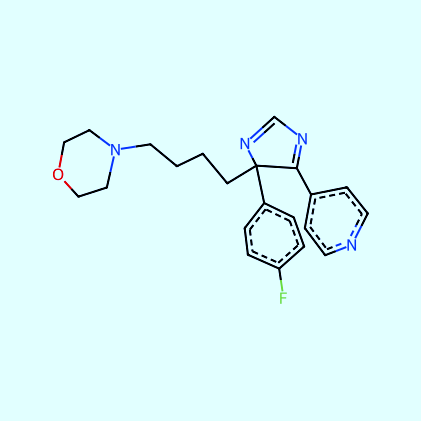 Fc1ccc(C2(CCCCN3CCOCC3)N=CN=C2c2ccncc2)cc1